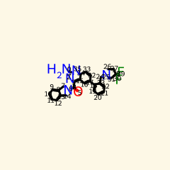 Nc1nc(C(=O)N2Cc3ccccc3C2)c2cc(-c3ccccc3CN3CCC(F)(F)C3)ccc2n1